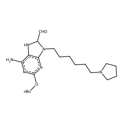 CCCCOc1nc(N)c2c(n1)N(CCCCCCN1CCCC1)C(C=O)N2